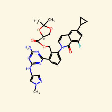 Cn1cc(Nc2nc(N)nc(-c3cccc(-n4ccc5cc(C6CC6)cc(F)c5c4=O)c3COC(=O)[C@@H]3COC(C)(C)O3)n2)cn1